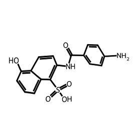 Nc1ccc(C(=O)Nc2ccc3c(O)cccc3c2S(=O)(=O)O)cc1